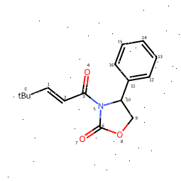 CC(C)(C)/C=C/C(=O)N1C(=O)OCC1c1ccccc1